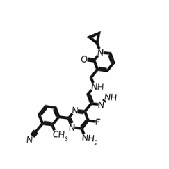 Cc1c(C#N)cccc1-c1nc(N)c(F)c(/C(=C/NCc2cccn(C3CC3)c2=O)N=N)n1